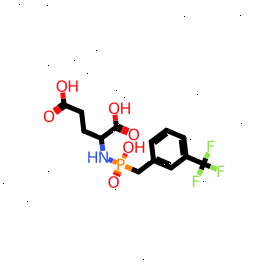 O=C(O)CCC(NP(=O)(O)Cc1cccc(C(F)(F)F)c1)C(=O)O